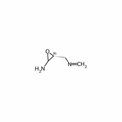 C=NC[C@H]1OC1N